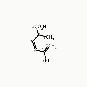 C=C(/C=C\C(C)C(=O)O)CC